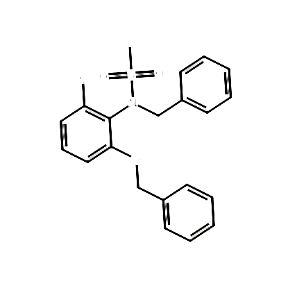 CS(=O)(=O)N(Cc1ccccc1)c1c(Cl)[c]ccc1OCc1ccccc1